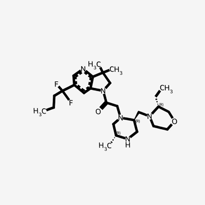 CCCC(F)(F)c1cnc2c(c1)N(C(=O)CN1C[C@@H](C)NC[C@@H]1CN1CCOC[C@H]1CC)CC2(C)C